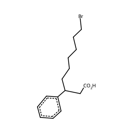 O=C(O)CC(CCCCCCBr)c1ccccc1